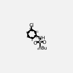 CCCCS(=O)(=O)Nc1cc[c]c(Cl)c1